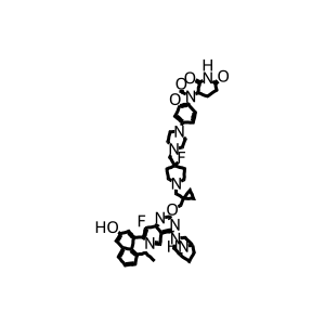 CCc1cccc2cc(O)cc(-c3ncc4c(N5CC6CCC(C5)N6)nc(OCC5(CN6CCC(F)(CN7CCN(c8ccc9c(c8)oc(=O)n9C8CCC(=O)NC8=O)CC7)CC6)CC5)nc4c3F)c12